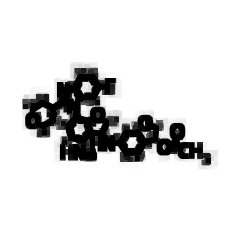 CC(=O)O[C@@H]1COc2cc(N[C@@H]3COc4c3cccc4-n3c(C4CCOCC4)nc4ccc(F)cc43)ccc21.[NaH]